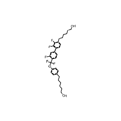 OCCCCCCc1ccc(OC(F)(F)c2ccc(-c3ccc(CCCCCCO)c(F)c3F)cc2F)cc1